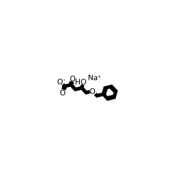 O=C([O-])C(=O)CC(O)COCc1ccccc1.[Na+]